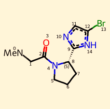 CNCC(=O)N1CCC[C@H]1c1ncc(Br)[nH]1